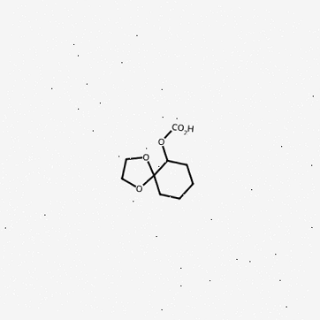 O=C(O)OC1CCCCC12OCCO2